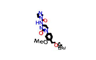 COc1cc(-n2ccc(NC(=O)n3ccnc3)nc2=O)ccc1CCO[Si](C)(C)C(C)(C)C